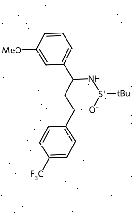 COc1cccc(C(CCc2ccc(C(F)(F)F)cc2)N[S+]([O-])C(C)(C)C)c1